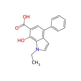 CCn1ccc2c(-c3ccccc3)cc(C(=O)O)c(O)c21